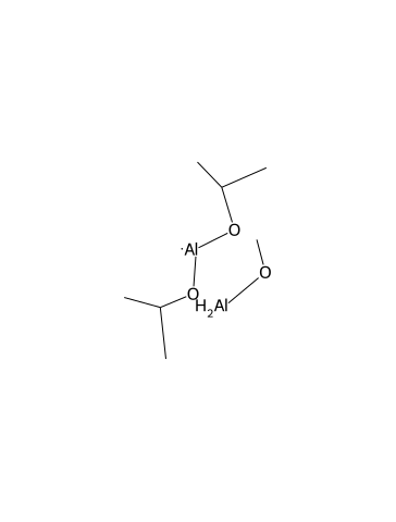 CC(C)[O][Al][O]C(C)C.C[O][AlH2]